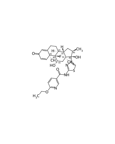 CCOc1ccc(C(=O)Nc2nc([C@@]3(O)[C@H](C)C[C@H]4[C@@H]5CCC6=CC(=O)C=C[C@]6(C)[C@@]5(F)[C@@H](O)C[C@@]43C)cs2)cn1